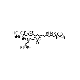 CCCCCCCCC(CCCCCC)(CCCCCCC(CCCCCCC(CCCCCC)(CCCCCCCC)C(=O)O)OC(=O)OCCN(CCN(CC)CC)C(C)C)C(=O)O